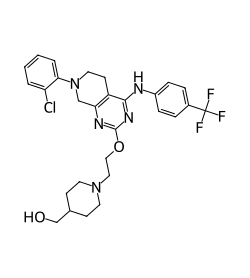 OCC1CCN(CCOc2nc3c(c(Nc4ccc(C(F)(F)F)cc4)n2)CCN(c2ccccc2Cl)C3)CC1